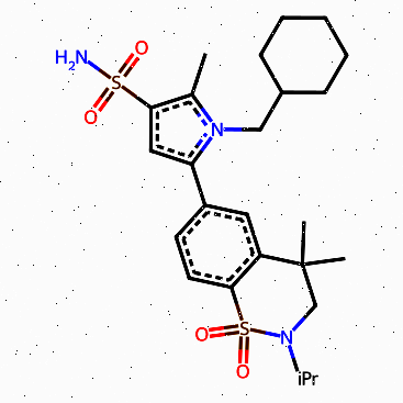 Cc1c(S(N)(=O)=O)cc(-c2ccc3c(c2)C(C)(C)CN(C(C)C)S3(=O)=O)n1CC1CCCCC1